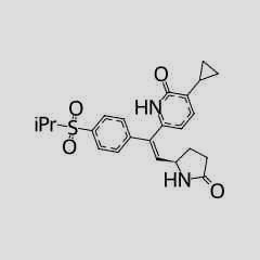 CC(C)S(=O)(=O)c1ccc(C(=C[C@H]2CCC(=O)N2)c2ccc(C3CC3)c(=O)[nH]2)cc1